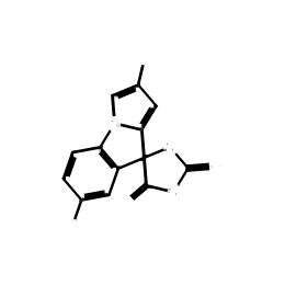 Cc1cc2n(c1)-c1ccc(F)cc1C21NC(=O)NC1=O